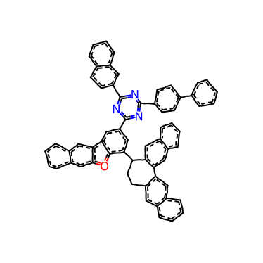 c1ccc(-c2ccc(-c3nc(-c4ccc5ccccc5c4)nc(-c4cc(C5CCc6cc7ccccc7cc6-c6cc7ccccc7cc65)c5oc6cc7ccccc7cc6c5c4)n3)cc2)cc1